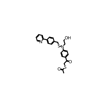 CC(=O)SCC(=O)c1ccc(N(CCO)SCc2ccc(-c3ccccn3)cc2)cc1